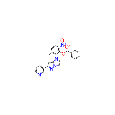 Cc1ccc([N+](=O)[O-])c(OCc2ccccc2)c1-n1ccn2nc(-c3cccnc3)cc12